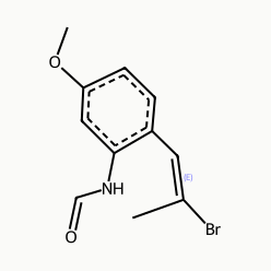 COc1ccc(/C=C(\C)Br)c(NC=O)c1